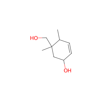 CC1C=CC(O)CC1(C)CO